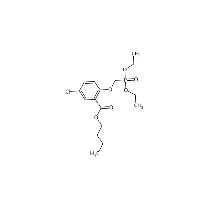 CCCCOC(=O)c1cc(Cl)ccc1OCP(=O)(OCC)OCC